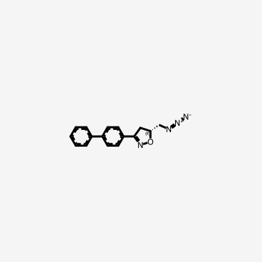 [N-]=[N+]=NC[C@H]1CC(c2ccc(-c3ccccc3)cc2)=NO1